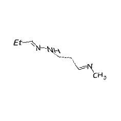 CC/C=N/NCC/C=N/C